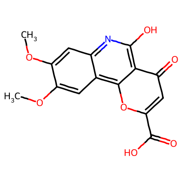 COc1cc2nc(O)c3c(=O)cc(C(=O)O)oc3c2cc1OC